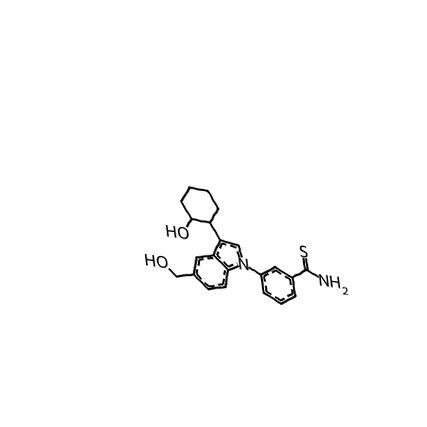 NC(=S)c1cccc(-n2cc(C3CCCCC3O)c3cc(CO)ccc32)c1